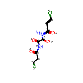 O=C(CCCl)NC(=O)C(=O)NC(=O)CCCl